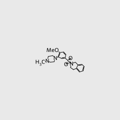 COc1ccc(S(=O)(=O)N2CCc3ccccc3C2)cc1N1CCN(C)CC1